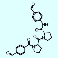 O=Cc1ccc(NC(=O)[C@@H]2CCCN2C(=O)[C@H]2CCCN2C(=O)c2ccc(C=O)cc2)cc1